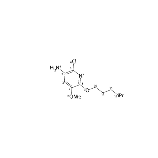 COc1cc(N)c(Cl)nc1OCCCC(C)C